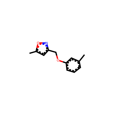 Cc1cccc(OCc2cc(C)on2)c1